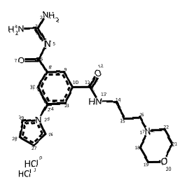 Cl.Cl.NC(N)=NC(=O)c1cc(C(=O)NCCCN2CCOCC2)cc(-n2cccc2)c1